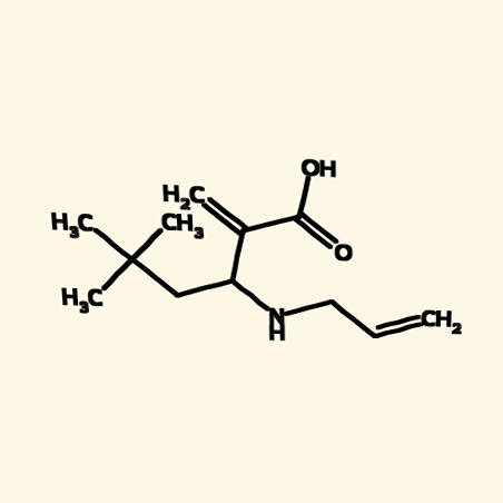 C=CCNC(CC(C)(C)C)C(=C)C(=O)O